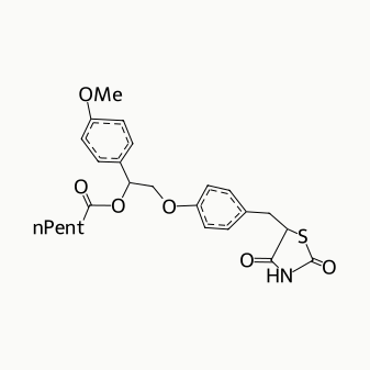 CCCCCC(=O)OC(COc1ccc(CC2SC(=O)NC2=O)cc1)c1ccc(OC)cc1